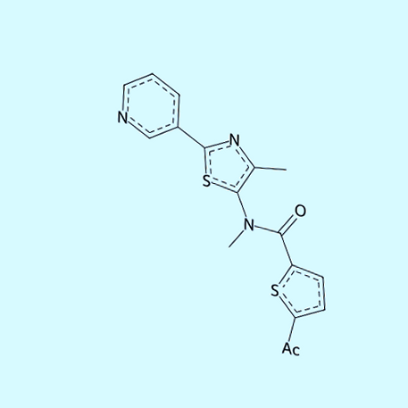 CC(=O)c1ccc(C(=O)N(C)c2sc(-c3cccnc3)nc2C)s1